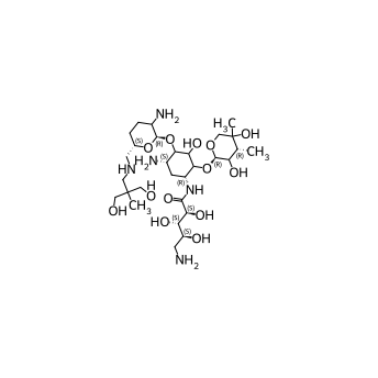 C[C@@H]1C(O)[C@@H](OC2C(O)C(O[C@H]3O[C@H](CNCC(C)(CO)CO)CCC3N)[C@@H](N)C[C@H]2NC(=O)[C@@H](O)[C@@H](O)[C@@H](O)CN)OCC1(C)O